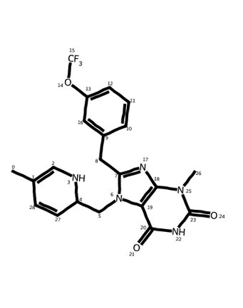 CC1=CNC(Cn2c(Cc3cccc(OC(F)(F)F)c3)nc3c2c(=O)[nH]c(=O)n3C)C=C1